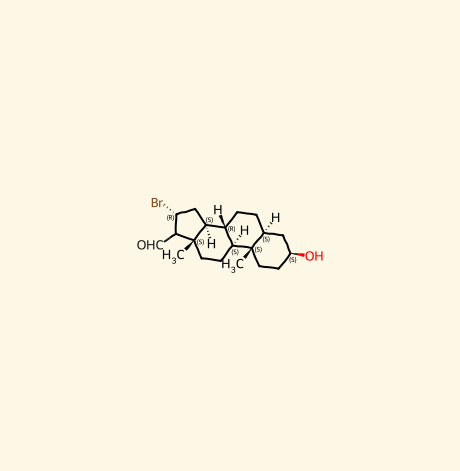 C[C@]12CC[C@H](O)C[C@@H]1CC[C@@H]1[C@@H]2CC[C@]2(C)C(C=O)[C@H](Br)C[C@@H]12